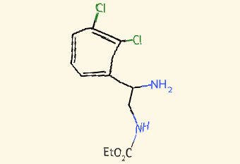 CCOC(=O)NCC(N)c1cccc(Cl)c1Cl